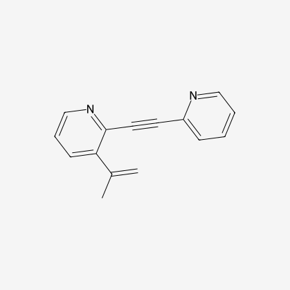 C=C(C)c1cccnc1C#Cc1ccccn1